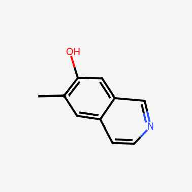 Cc1cc2ccncc2cc1O